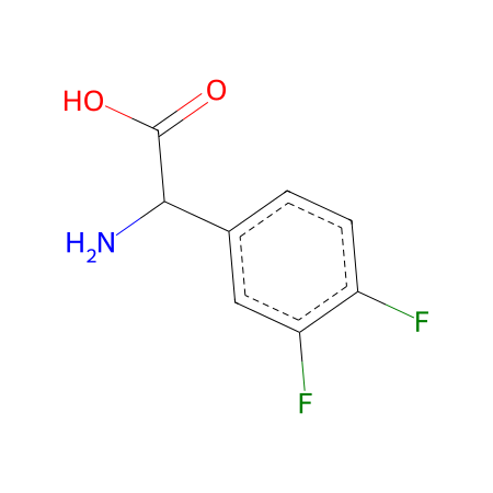 NC(C(=O)O)c1ccc(F)c(F)c1